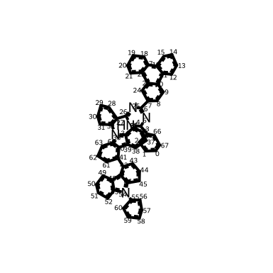 c1ccc(C2N=C(c3ccc4c5ccccc5c5ccccc5c4c3)N=C(c3ccccc3-n3c4ccccc4c4c(-c5cccc6c5c5ccccc5n6-c5ccccc5)cccc43)N2)cc1